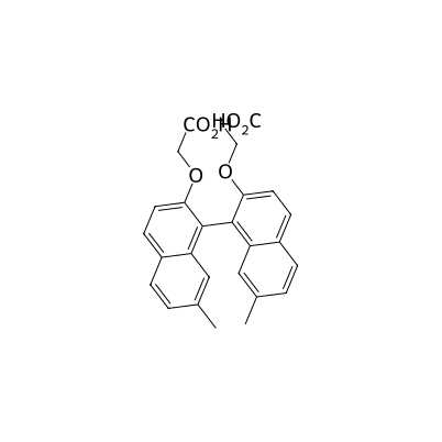 Cc1ccc2ccc(OCC(=O)O)c(-c3c(OCC(=O)O)ccc4ccc(C)cc34)c2c1